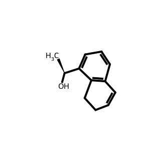 C[C@H](O)c1cccc2c1CCC=C2